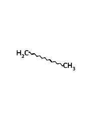 C=CC=CCCCCCC=CCCCCC